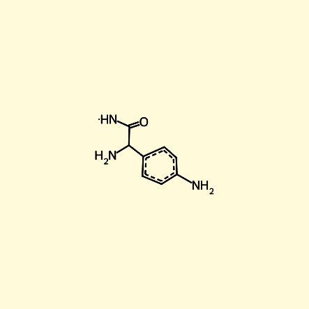 [NH]C(=O)C(N)c1ccc(N)cc1